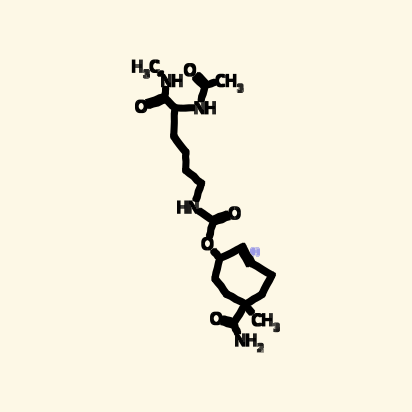 CNC(=O)C(CCCCNC(=O)OC1/C=C/CCC(C)(C(N)=O)CC1)NC(C)=O